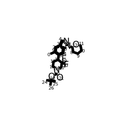 Cc1cc2cnn(C3CCCCO3)c2cc1C1CCN(C(=O)OC(C)(C)C)CC1(F)F